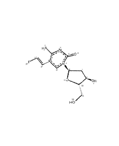 Nc1nc(=O)n([C@H]2C[C@@H](O)[C@H](CO)O2)cc1C=CF